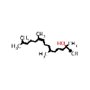 C#CC(C)(O)CCCC(C)CCC=C(C)CCCC(C)C